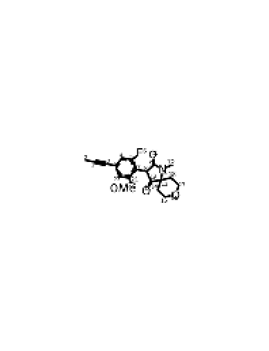 CC#Cc1cc(F)c(C2C(=O)N(C)C3(CCOCC3)C2=O)c(OC)c1